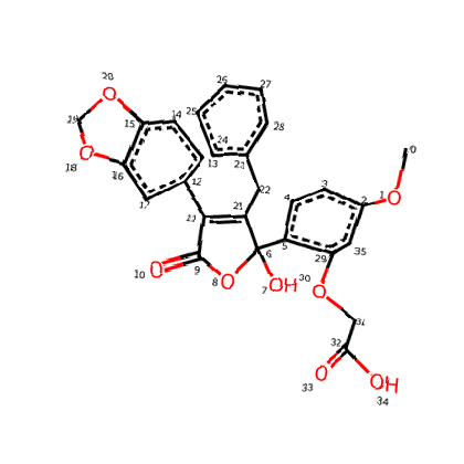 COc1ccc(C2(O)OC(=O)C(c3ccc4c(c3)OCO4)=C2Cc2ccccc2)c(OCC(=O)O)c1